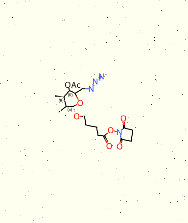 CC(=O)O[C@H]1C(CN=[N+]=[N-])O[C@H](OCCCCC(=O)ON2C(=O)CCC2=O)C(C)[C@H]1C